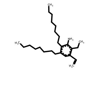 C=Cc1cc(CCCCCCCC)c(CCCCCCCC)c(N)c1CC